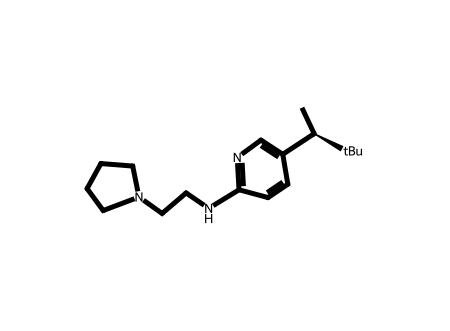 C[C@H](c1ccc(NCCN2CCCC2)nc1)C(C)(C)C